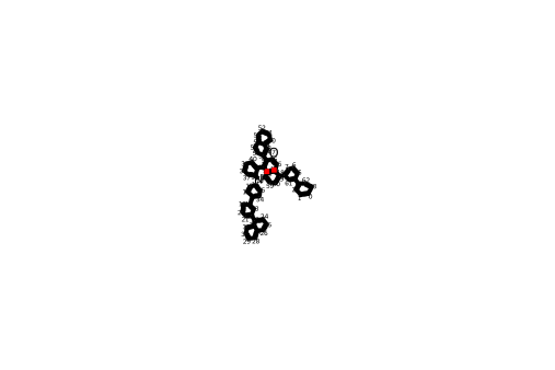 c1ccc(-c2cccc(-c3ccc(N(c4ccc(-c5cccc(-c6cccc7ccccc67)c5)cc4)c4ccccc4-c4cccc5oc6c7ccccc7ccc6c45)cc3)c2)cc1